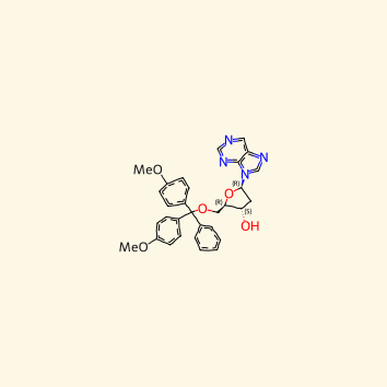 COc1ccc(C(OC[C@H]2O[C@@H](n3cnc4cncnc43)C[C@@H]2O)(c2ccccc2)c2ccc(OC)cc2)cc1